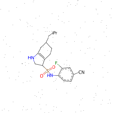 CC(C)CC1CCC2=C(C1)NCC2S(=O)(=O)Nc1ccc(C#N)cc1F